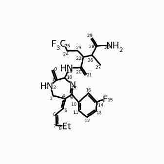 C=C1NC/C(=C\C=C/CC)C(c2cccc(F)c2)=NC1NC(=C)C(CCC(F)(F)F)C(C)C(=C)N